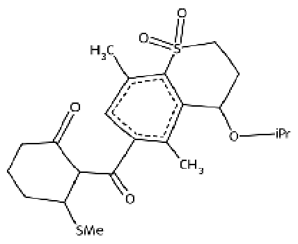 CSC1CCCC(=O)C1C(=O)c1cc(C)c2c(c1C)C(OC(C)C)CCS2(=O)=O